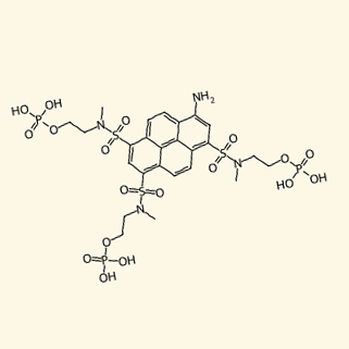 CN(CCOP(=O)(O)O)S(=O)(=O)c1cc(N)c2ccc3c(S(=O)(=O)N(C)CCOP(=O)(O)O)cc(S(=O)(=O)N(C)CCOP(=O)(O)O)c4ccc1c2c34